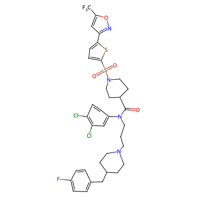 O=C(C1CCN(S(=O)(=O)c2ccc(-c3cc(C(F)(F)F)on3)s2)CC1)N(CCCN1CCC(Cc2ccc(F)cc2)CC1)c1ccc(Cl)c(Cl)c1